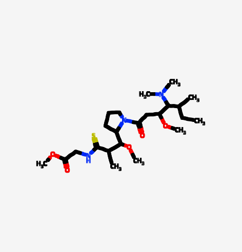 CCC(C)C(C(CC(=O)N1CCCC1C(OC)C(C)C(=S)NCC(=O)OC)OC)N(C)C